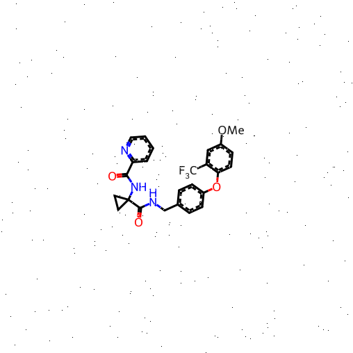 COc1ccc(Oc2ccc(CNC(=O)C3(NC(=O)c4ccccn4)CC3)cc2)c(C(F)(F)F)c1